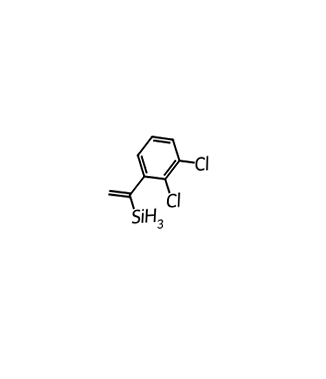 C=C([SiH3])c1cccc(Cl)c1Cl